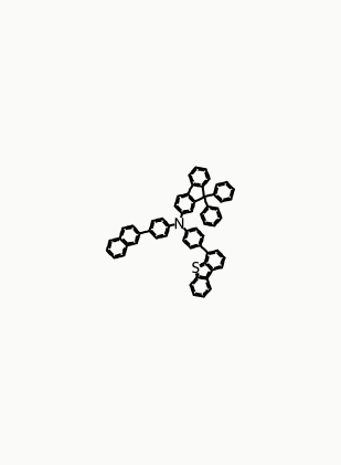 c1ccc(C2(c3ccccc3)c3ccccc3-c3ccc(N(c4ccc(-c5ccc6ccccc6c5)cc4)c4ccc(-c5cccc6c5sc5ccccc56)cc4)cc32)cc1